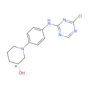 O[C@@H]1CCCN(c2ccc(Nc3ncnc(Cl)n3)cc2)C1